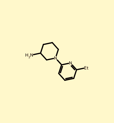 CCc1cccc(N2CCCC(N)C2)n1